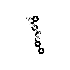 O=C(CN(Cl)Cc1ccc(-c2ccccc2)cc1)N1CCN(C(=O)c2ccccc2C(F)(F)F)CC1